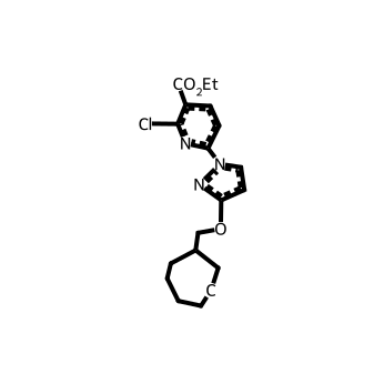 CCOC(=O)c1ccc(-n2ccc(OCC3CCCCCC3)n2)nc1Cl